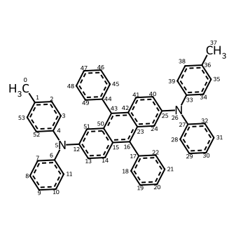 Cc1ccc(N(c2ccccc2)c2ccc3c(-c4ccccc4)c4cc(N(c5ccccc5)c5ccc(C)cc5)ccc4c(-c4ccccc4)c3c2)cc1